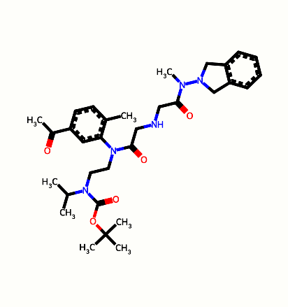 CC(=O)c1ccc(C)c(N(CCN(C(=O)OC(C)(C)C)C(C)C)C(=O)CNCC(=O)N(C)N2Cc3ccccc3C2)c1